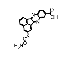 NOOSc1cc2c3c(cccc3c1)-c1nc3ccc(C(=O)O)cc3nc1-2